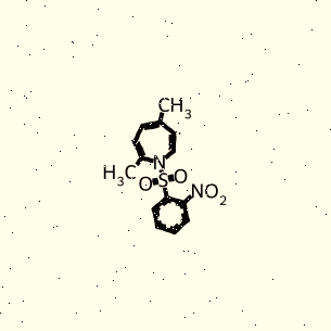 CC1=CC=C(C)N(S(=O)(=O)c2ccccc2[N+](=O)[O-])C=[C]1